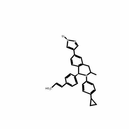 CCn1cc(-c2ccc3c(c2)CC(C)N(c2ccc(C4CC4)cc2)[C@H]3c2ccc(/C=C/C(=O)O)cc2)cn1